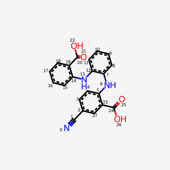 N#Cc1ccc(Nc2ccccc2Nc2ccccc2C(=O)O)c(C(=O)O)c1